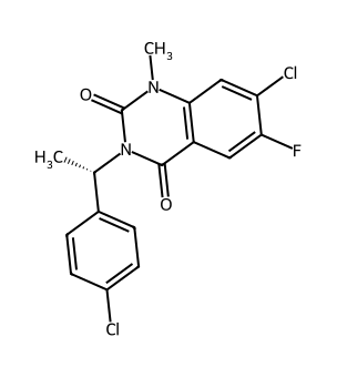 C[C@@H](c1ccc(Cl)cc1)n1c(=O)c2cc(F)c(Cl)cc2n(C)c1=O